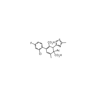 CC(=O)C1(C(=O)O)C(C)=CC(c2ccc(F)cc2Cl)=C(C(=O)O)C1c1csc(C)n1